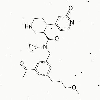 COCCCc1cc(CN(C(=O)[C@H]2CNCCC2c2ccn(C)c(=O)c2)C2CC2)cc(C(C)=O)c1